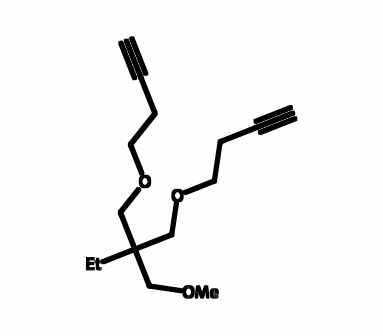 C#CCCOCC(CC)(COC)COCCC#C